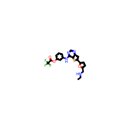 CCNCc1ccc(-c2cc3ncnc(Nc4cccc(OC(=O)C(F)(F)F)c4)c3s2)o1